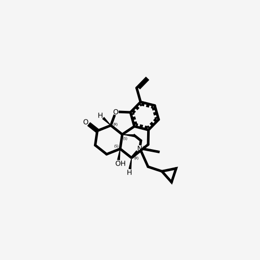 C=Cc1ccc2c3c1O[C@H]1C(=O)CC[C@@]4(O)[C@@H](C2)[N+](C)(CC2CC2)CC[C@]314